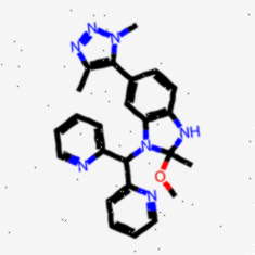 COC1(C)Nc2ccc(-c3c(C)nnn3C)cc2N1C(c1ccccn1)c1ccccn1